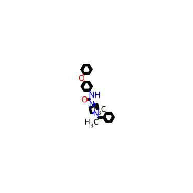 CC(c1ccccc1C(F)(F)F)N1CC2CC1CN2C(=O)Nc1ccc(Oc2ccccc2)cc1